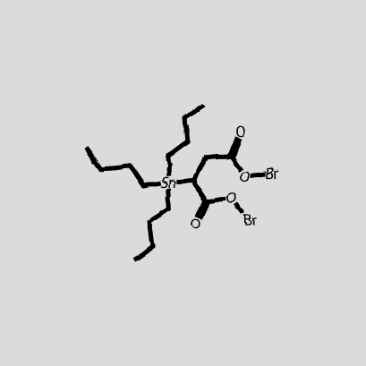 CCC[CH2][Sn]([CH2]CCC)([CH2]CCC)[CH](CC(=O)OBr)C(=O)OBr